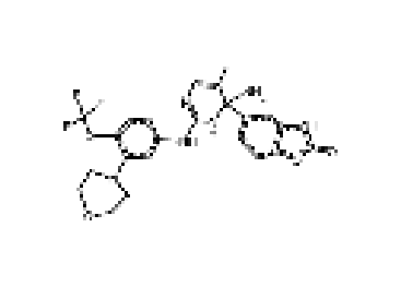 CC1=CN=C(Nc2ccc(OC(F)(F)F)c(N3CCOCC3)c2)NC1(N)c1ccc2oc(=O)[nH]c2c1